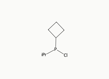 CC(C)P(Cl)C1CCC1